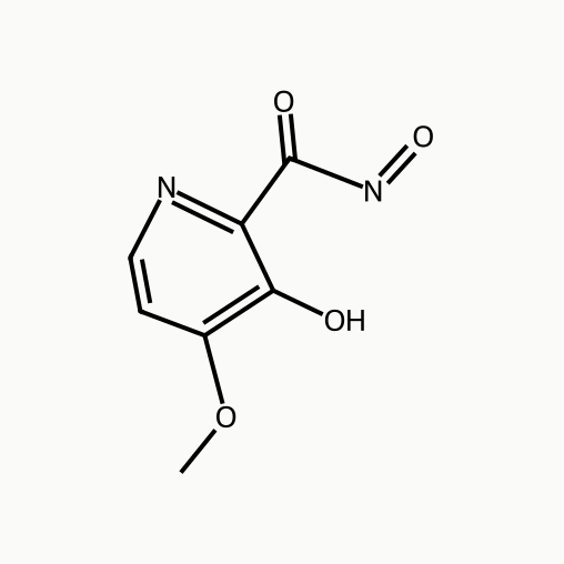 COc1ccnc(C(=O)N=O)c1O